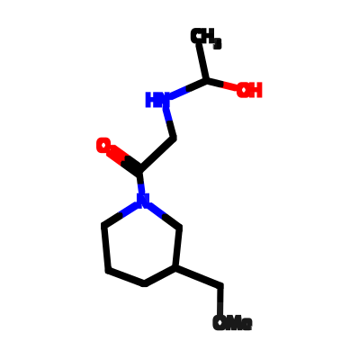 COCC1CCCN(C(=O)CNC(C)O)C1